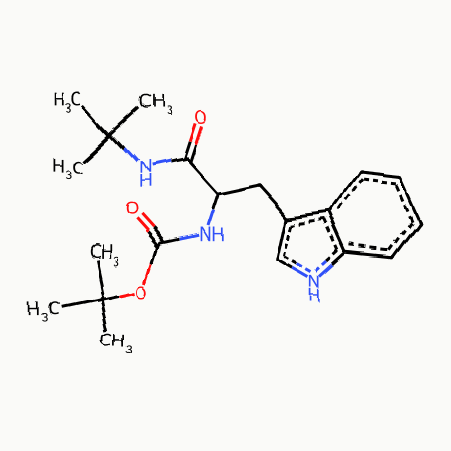 CC(C)(C)NC(=O)C(Cc1c[nH]c2ccccc12)NC(=O)OC(C)(C)C